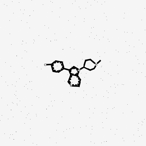 CN1CCC(n2cc(-c3ccc(Cl)cc3)c3cnccc32)CC1